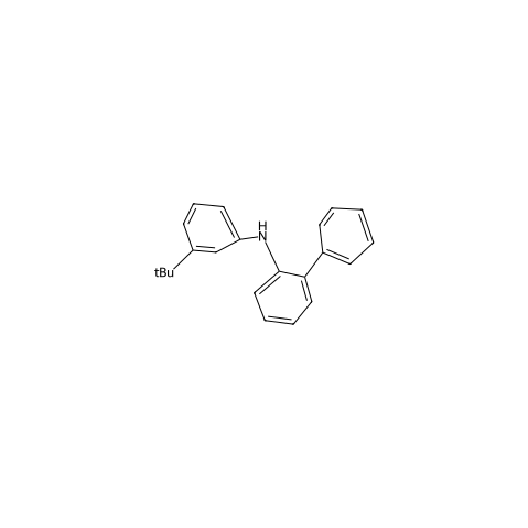 CC(C)(C)c1cccc(Nc2ccccc2-c2ccccc2)c1